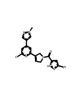 CC(C)c1cc(C(=O)N2CC=C(c3cc(-c4cnn(C)c4)cc(Cl)n3)C2)[nH]n1